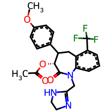 COc1ccc(C2Cc3c(cccc3C(F)(F)F)N(CC3=NCCN3)C(=O)[C@@H]2OC(C)=O)cc1